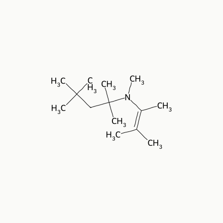 CC(C)=C(C)N(C)C(C)(C)CC(C)(C)C